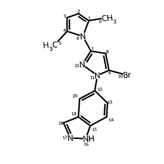 Cc1ccc(C)n1-c1cc(Br)n(-c2ccc3[nH]ncc3c2)n1